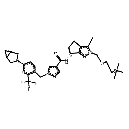 Cc1c2c(nn1COCC[Si](C)(C)C)[C@H](NC(=O)c1cnn(Cc3ccc(N4CC5CC5C4)nc3C(F)(F)F)c1)CC2